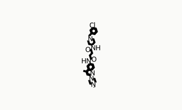 Cc1cc(N2CCN(C)CC2)nc2ccc(NC(=O)CCC(=O)NC3CCN(Cc4cccc(Cl)c4)CC3)cc12